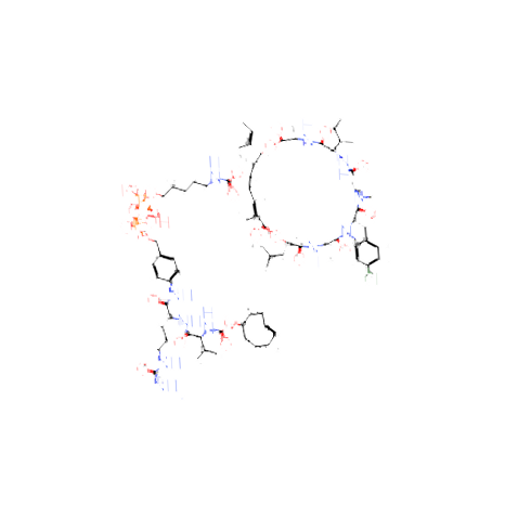 C/C=C(\C)[C@H]1OC(=O)[C@@H](C)NC(=O)[C@H]([C@H](C)CC)NC(=O)CN(C)C(=O)[C@@H](Cc2ccc(Cl)cc2)N(C)C(=O)[C@H](C)NC(=O)[C@@H](CC(C)C)OC(=O)/C(C)=C/C[C@H](OC(=O)NCCCCCOP(=O)(O)OP(=O)(O)OCc2ccc(NC(=O)[C@H](CCCNC(N)=O)NC(=O)[C@H](NC(=O)OC3CC/C=C/CCC3)C(C)C)cc2)[C@@H]1C